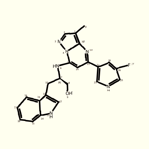 Cc1cnn2c(N[C@@H](CO)Cc3c[nH]c4ccccc34)cc(-c3cncc(F)c3)nc12